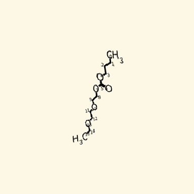 CCCCOC(=O)OCCOCCOCC